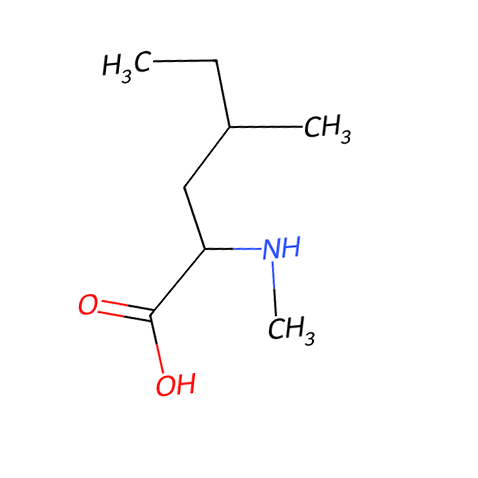 CCC(C)CC(NC)C(=O)O